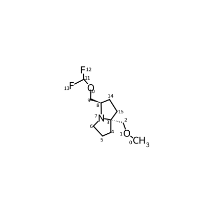 COC[C@]12CCCN1[C@@H](COC(F)F)CC2